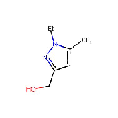 CCn1nc(CO)cc1C(F)(F)F